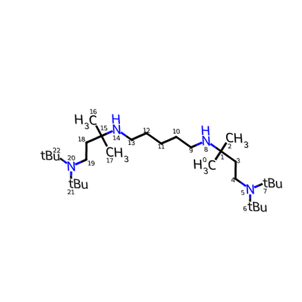 CC(C)(CCN(C(C)(C)C)C(C)(C)C)NCCCCCNC(C)(C)CCN(C(C)(C)C)C(C)(C)C